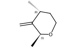 C=C1[C@H](C)CCO[C@H]1C